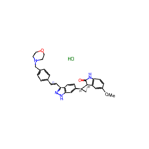 COc1ccc2c(c1)[C@]1(C[C@H]1c1ccc3c(/C=C/c4ccc(CN5CCOCC5)cc4)n[nH]c3c1)C(=O)N2.Cl